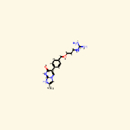 CC(C)(C)c1cn2cc(-c3ccc(COCCCNC(=N)N)cc3)c(=O)nc2[nH]1